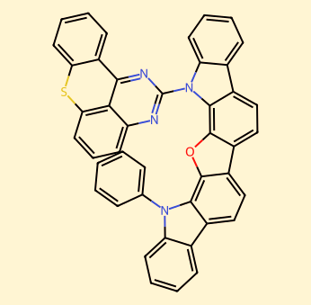 c1ccc(-n2c3ccccc3c3ccc4c5ccc6c7ccccc7n(-c7nc8c9c(cccc9n7)Sc7ccccc7-8)c6c5oc4c32)cc1